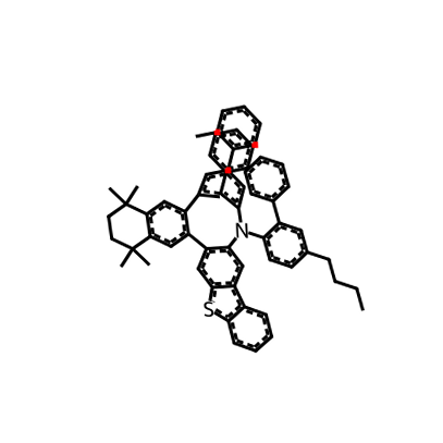 CCCCc1ccc(N2c3cc4c(cc3-c3cc5c(cc3-c3cc(-c6ccccc6C)cc2c3-c2ccccc2)C(C)(C)CCC5(C)C)sc2ccccc24)c(-c2ccccc2)c1